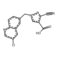 N#Cc1nn(Cc2ccc3ncc(Cl)cc3c2)cc1C(=O)O